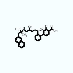 C[C@@H](OC[C@H](O)CNC(C)(C)Cc1ccc2ccccc2c1)c1ccccc1-c1ccc(C(=O)O)c(F)c1